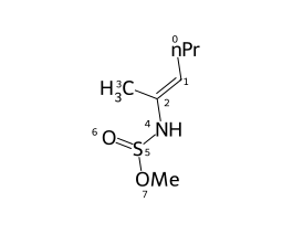 CCC/C=C(\C)NS(=O)OC